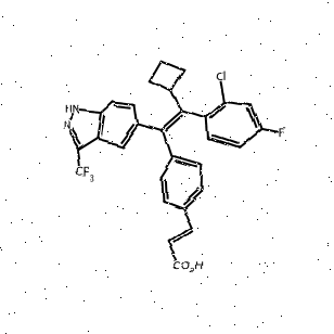 O=C(O)C=Cc1ccc(C(=C(c2ccc(F)cc2Cl)C2CCC2)c2ccc3[nH]nc(C(F)(F)F)c3c2)cc1